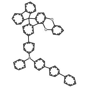 c1ccc(-c2ccc(-c3ccc(N(c4ccccc4)c4ccc(-c5ccc6c(c5)-c5c(ccc7c5Oc5ccccc5O7)C65c6ccccc6-c6ccccc65)cc4)cc3)cc2)cc1